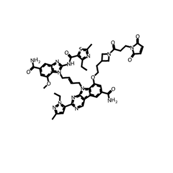 CCc1nc(C)sc1C(=O)Nc1nc2cc(C(N)=O)cc(OC)c2n1C/C=C/Cn1c2nc(-c3cc(C)nn3CC)ncc2c2cc(C(N)=O)cc(OCCC3CN(C(=O)CCN4C(=O)C=CC4=O)C3)c21